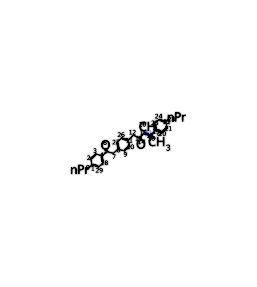 CCCc1ccc(C(=O)Cc2ccc(CC(=O)/C(C)=C(\C)c3ccc(CCC)cc3)cc2)cc1